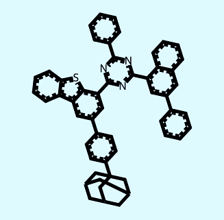 c1ccc(-c2cc(-c3nc(-c4ccccc4)nc(-c4cc(-c5ccc(C67CC8CC(CC(C8)C6)C7)cc5)cc5c4sc4ccccc45)n3)c3ccccc3c2)cc1